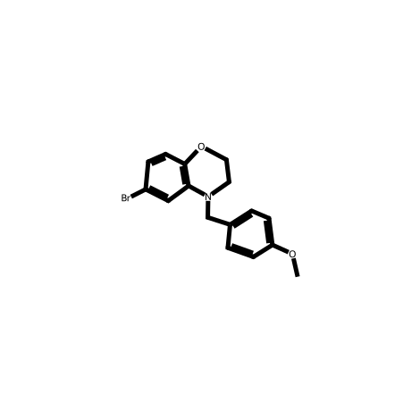 COc1ccc(CN2CCOc3ccc(Br)cc32)cc1